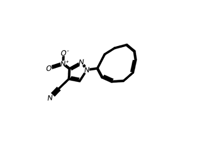 N#Cc1cn(C2/C=C\C/C=C\CCCC2)nc1[N+](=O)[O-]